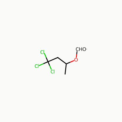 CC(CC(Cl)(Cl)Cl)O[C]=O